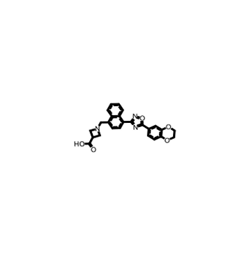 O=C(O)C1CN(Cc2ccc(-c3noc(-c4ccc5c(c4)OCCO5)n3)c3ccccc23)C1